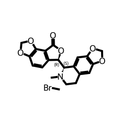 CBr.CN1CCc2cc3c(cc2[C@H]1[C@@H]1OC(=O)c2c1ccc1c2OCO1)OCO3